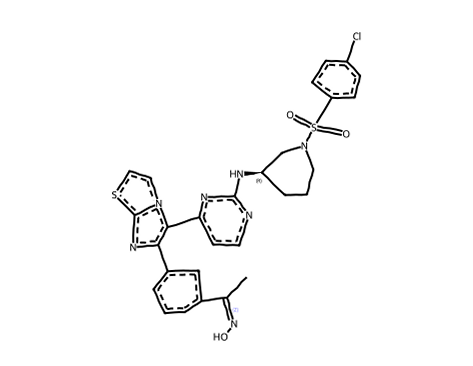 C/C(=N/O)c1cccc(-c2nc3sccn3c2-c2ccnc(N[C@@H]3CCCN(S(=O)(=O)c4ccc(Cl)cc4)C3)n2)c1